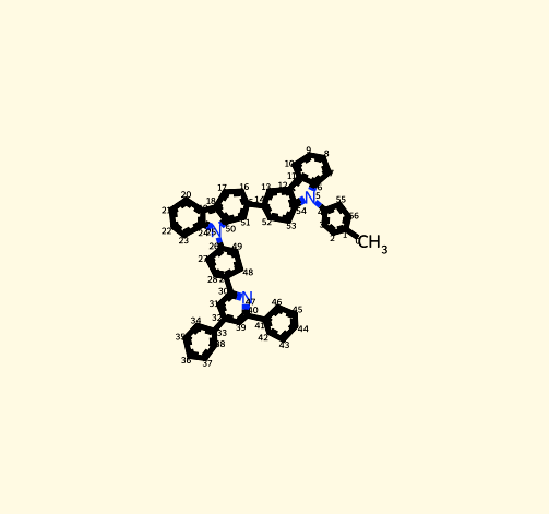 Cc1ccc(-n2c3ccccc3c3cc(-c4ccc5c6ccccc6n(-c6ccc(-c7cc(-c8ccccc8)cc(-c8ccccc8)n7)cc6)c5c4)ccc32)cc1